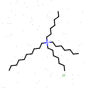 CCCCCCCCCC[N+](CCCCCCC)(CCCCCCC)CCCCCCC.[Cl-]